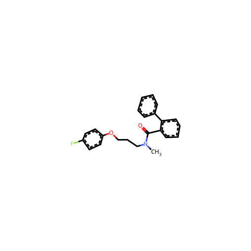 CN(CCCOc1ccc(F)cc1)C(=O)c1ccccc1-c1ccccc1